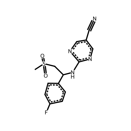 CS(=O)(=O)CC(Nc1ncc(C#N)cn1)c1ccc(F)cc1